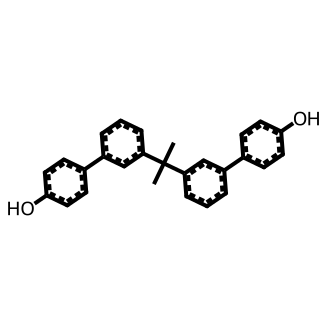 CC(C)(c1cccc(-c2ccc(O)cc2)c1)c1cccc(-c2ccc(O)cc2)c1